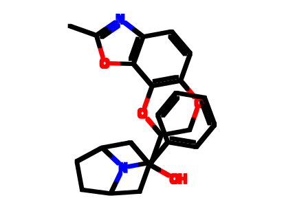 Cc1nc2ccc3c(c2o1)OC(CN1C2CCC1CC(O)(c1ccccc1)C2)CO3